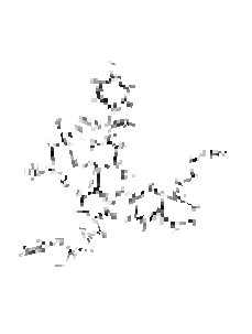 COCCCN1CCOc2ccc(CO[C@H]3CN(S(=O)(=O)c4ccc(C)cc4)[C@@H](CC(C)(C)CC(N)=O)C[C@@H]3c3ccc(COC[C@@H](C)COC)cc3)cc21